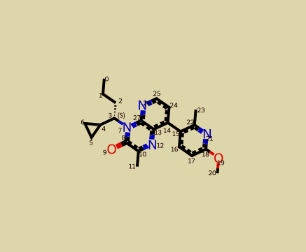 CCC[C@@H](C1CC1)n1c(=O)c(C)nc2c(-c3ccc(OC)nc3C)ccnc21